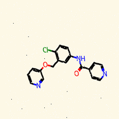 O=C(Nc1ccc(Cl)c(COc2cccnc2)c1)c1ccncc1